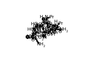 CC(C)C[C@H](NC(=O)CNC(=O)[C@@H]1CCCN1C(=O)CNC(=O)[C@@H]1CCCN1C(=O)[C@@H](N)CC(C)C)C(=O)N[C@@H](CCC(N)=O)C(=O)N[C@@H](CC(C)C)C(=O)N[C@@H](CC(C)C)C(=O)N[C@@H](Cc1c[nH]cn1)C(=O)NCC(=O)N[C@H](C(=O)N[C@H](C(=O)N[C@H](C(=O)N[C@@H](CC(C)C)C(=O)N[C@@H](C)C(=O)N[C@@H](Cc1ccccc1)C(=O)N[C@@H](CCCCN)C(=O)O)[C@@H](C)O)[C@@H](C)O)[C@@H](C)O